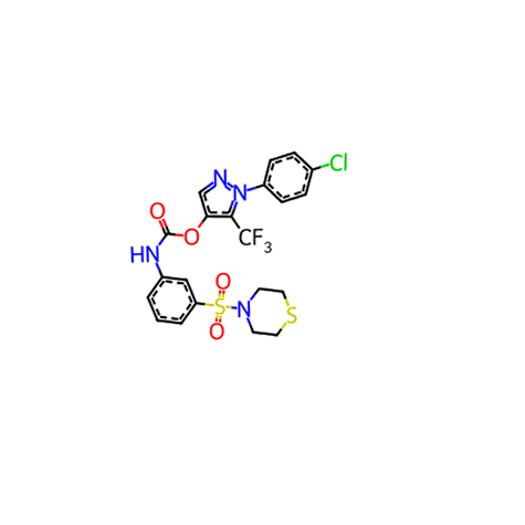 O=C(Nc1cccc(S(=O)(=O)N2CCSCC2)c1)Oc1cnn(-c2ccc(Cl)cc2)c1C(F)(F)F